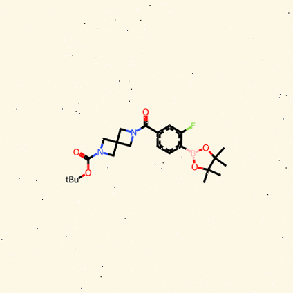 CC(C)(C)OC(=O)N1CC2(C1)CN(C(=O)c1ccc(B3OC(C)(C)C(C)(C)O3)c(F)c1)C2